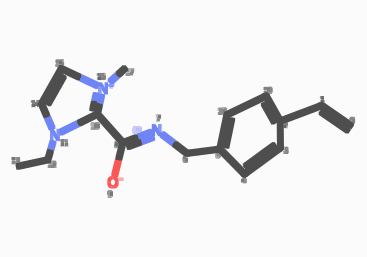 C=Cc1ccc(C/N=C(\[O-])c2n(CC)cc[n+]2C)cc1